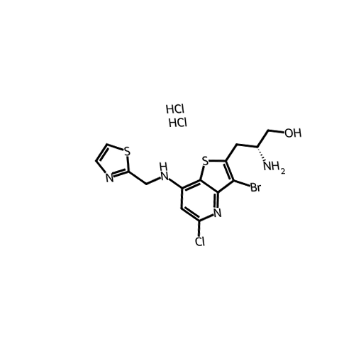 Cl.Cl.N[C@@H](CO)Cc1sc2c(NCc3nccs3)cc(Cl)nc2c1Br